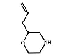 C=CC[C]1CNCCO1